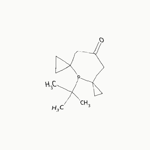 CC(C)(C)P1C2(CC2)CC(=O)CC12CC2